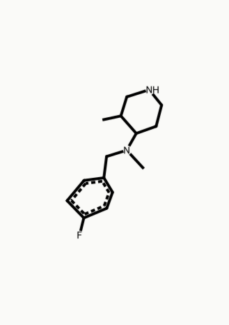 CC1CNCCC1N(C)Cc1ccc(F)cc1